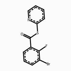 O=C(Sc1ccccn1)c1cccc(Br)c1F